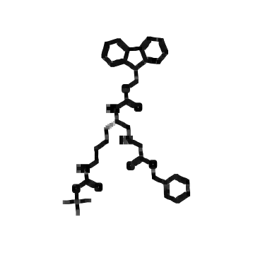 CC(C)(C)OC(=O)NCCCC[C@@H](CNCC(=O)OCc1ccccc1)NC(=O)OCC1c2ccccc2-c2ccccc21